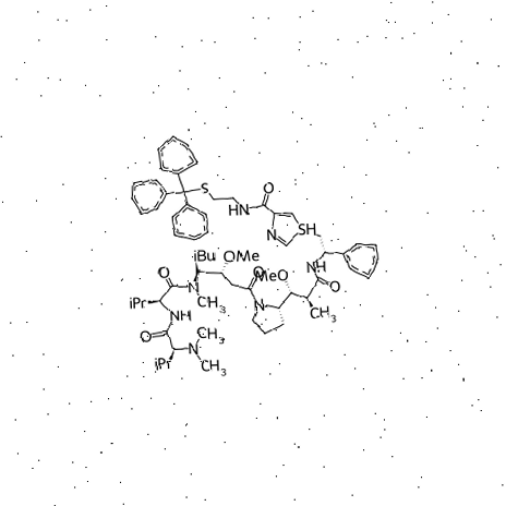 CC[C@H](C)[C@@H]([C@@H](CC(=O)N1CCC[C@H]1[C@H](OC)[C@H](C)C(=O)N[C@H](C[SH]1C=NC(C(=O)NCCSC(c2ccccc2)(c2ccccc2)c2ccccc2)=C1)c1ccccc1)OC)N(C)C(=O)[C@@H](NC(=O)[C@H](C(C)C)N(C)C)C(C)C